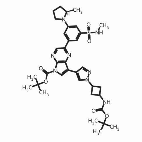 CNS(=O)(=O)c1cc(-c2cnc3c(n2)c(-c2cnn(C4CC(NC(=O)OC(C)(C)C)C4)c2)cn3C(=O)OC(C)(C)C)cc(N2CCC[C@H]2C)c1